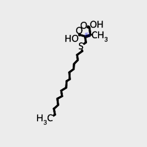 CCCCCCCCCCCCCCCCSC/C(C(=O)O)=C(\C)C(=O)O